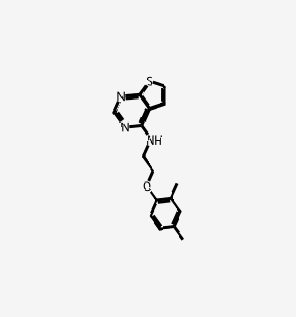 Cc1ccc(OCCNc2ncnc3sccc23)c(C)c1